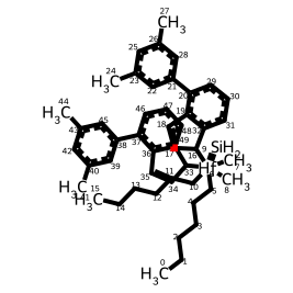 CCCCC[CH2][Hf]([CH3])([CH3])(=[SiH2])([CH2]CCCCC)([CH]1C=Cc2c(-c3cc(C)cc(C)c3)cccc21)[CH]1C=Cc2c(-c3cc(C)cc(C)c3)cccc21